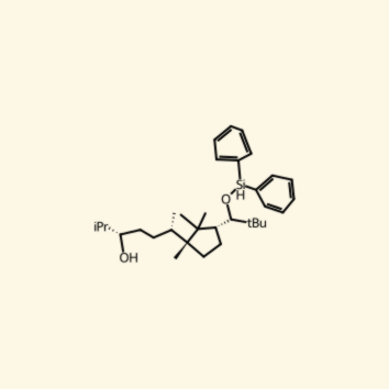 CC(C)[C@@H](O)CC[C@H](C)[C@@]1(C)CC[C@@H](C(O[SiH](c2ccccc2)c2ccccc2)C(C)(C)C)C1(C)C